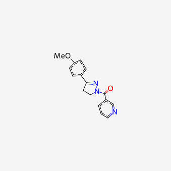 COc1ccc(C2=NN(C(=O)c3cccnc3)CC2)cc1